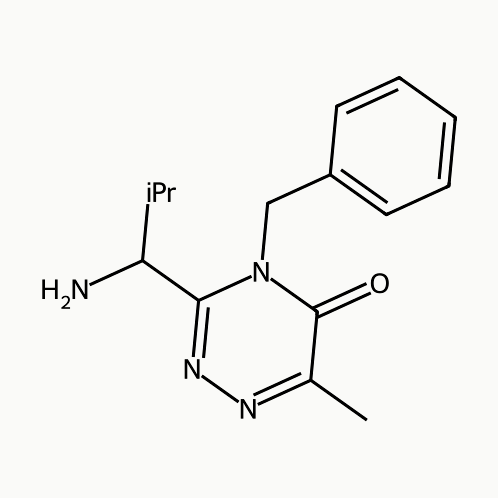 Cc1nnc(C(N)C(C)C)n(Cc2ccccc2)c1=O